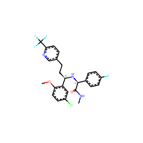 CNC(=O)[C@@H](N[C@H](CCc1ccc(C(F)(F)F)nc1)c1cc(Cl)ccc1OC)c1ccc(F)cc1